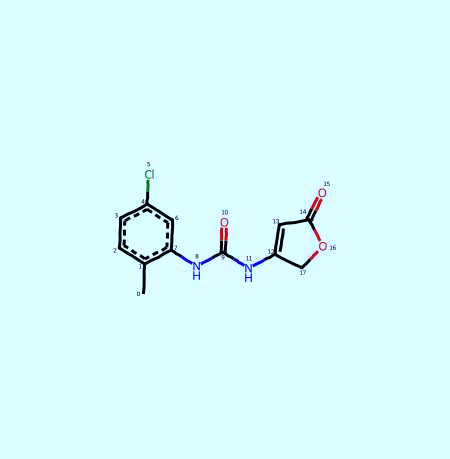 Cc1ccc(Cl)cc1NC(=O)NC1=CC(=O)OC1